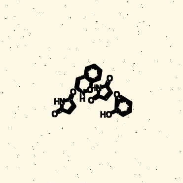 C1=Cc2ccccc2ON1.O=C1C=CC(=O)N1.O=C1C=CC(=O)N1.Oc1cccc2c1O2